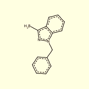 Bc1nn(Cc2ccccc2)c2ccccc12